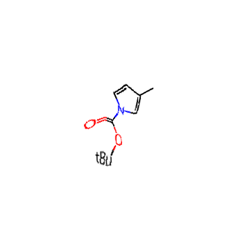 Cc1ccn(C(=O)OC(C)(C)C)c1